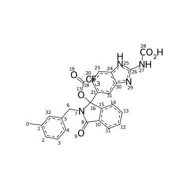 Cc1cccc(CN2C(=O)c3ccccc3C2(OC(=O)C(F)(F)F)c2ccc3[nH]c(NC(=O)O)nc3c2)c1